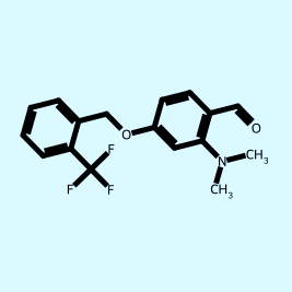 CN(C)c1cc(OCc2ccccc2C(F)(F)F)ccc1C=O